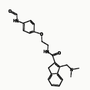 CN(C)CC1=C(C(=O)NCCOc2ccc(NC=O)cc2)Cc2ccccc21